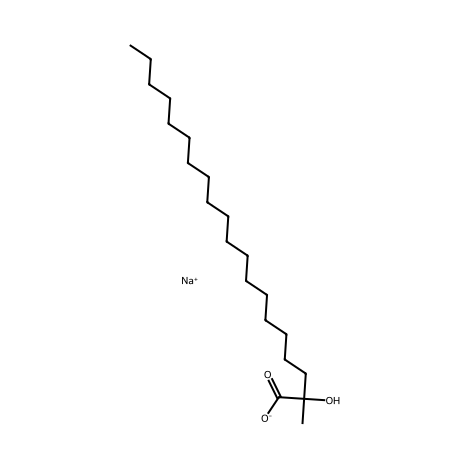 CCCCCCCCCCCCCCCCCCC(C)(O)C(=O)[O-].[Na+]